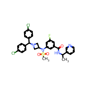 CC(NC(=O)c1cc(F)cc(N(C2CN(C(c3ccc(Cl)cc3)c3ccc(Cl)cc3)C2)S(C)(=O)=O)c1)c1cccnc1